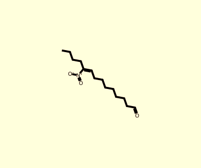 CCCC/C(=C/CCCCCCCC=O)[N+](=O)[O-]